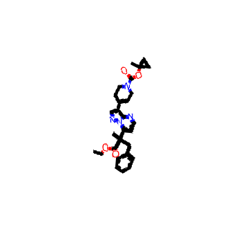 CCOC(=O)C(C)(Cc1ccccc1)c1ccnc2c(C3=CCN(C(=O)OC4(C)CC4)CC3)cnn12